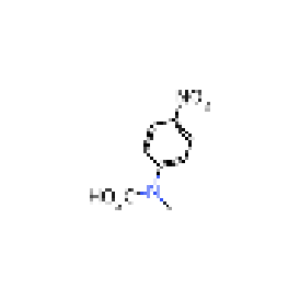 CN(C(=O)O)c1ccc([N+](=O)[O-])cc1